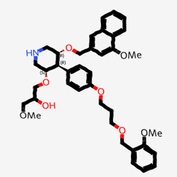 COCC(O)CO[C@@H]1CNC[C@H](OCc2cc(OC)c3ccccc3c2)[C@H]1c1ccc(OCCCOCc2ccccc2OC)cc1